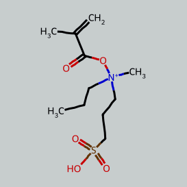 C=C(C)C(=O)O[N+](C)(CCC)CCCS(=O)(=O)O